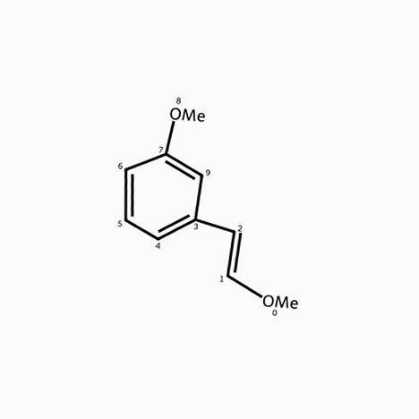 COC=Cc1cccc(OC)c1